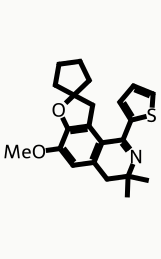 COc1cc2c(c3c1OC1(CCCC1)C3)C(c1cccs1)=NC(C)(C)C2